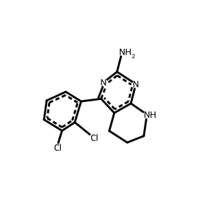 Nc1nc2c(c(-c3cccc(Cl)c3Cl)n1)CCCN2